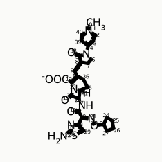 C[n+]1ccc(N2CCC(=CC3=C(C(=O)[O-])N4C(=O)[C@@H](NC(=O)C(=NOC5CCCC5)c5csc(N)n5)[C@H]4CC3)C2=O)cc1